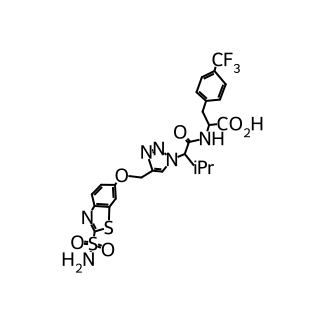 CC(C)C(C(=O)NC(Cc1ccc(C(F)(F)F)cc1)C(=O)O)n1cc(COc2ccc3nc(S(N)(=O)=O)sc3c2)nn1